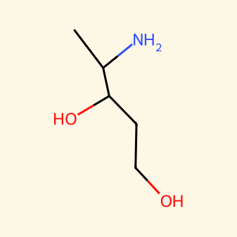 CC(N)C(O)CCO